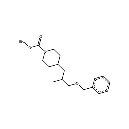 CC(COCc1ccccc1)CC1CCN(C(=O)OC(C)(C)C)CC1